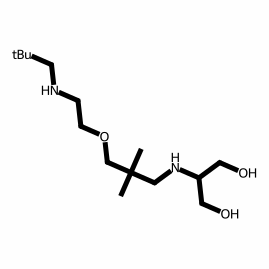 CC(C)(C)CNCCOCC(C)(C)CNC(CO)CO